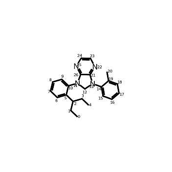 CCC(CC)c1ccccc1N1CN(c2ccccc2C)c2nccnc21